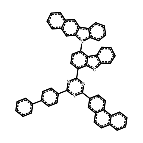 c1ccc(-c2ccc(-c3nc(-c4ccc5c(ccc6ccccc65)c4)nc(-c4ccc(-n5c6ccccc6c6cc7ccccc7cc65)c5c4oc4ccccc45)n3)cc2)cc1